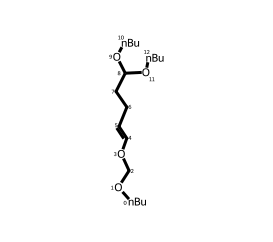 CCCCOCOC=CCCC(OCCCC)OCCCC